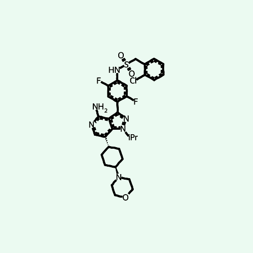 CC(C)n1nc(-c2cc(F)c(NS(=O)(=O)Cc3ccccc3Cl)cc2F)c2c(N)ncc([C@H]3CC[C@H](N4CCOCC4)CC3)c21